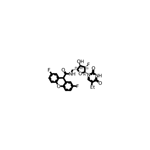 CCc1cn([C@@H]2O[C@H](CNC(=O)C3c4cc(F)ccc4Oc4ccc(F)cc43)[C@@H](O)[C@@H]2F)c(=O)[nH]c1=O